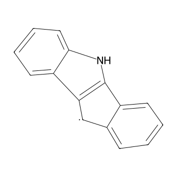 [CH]1c2ccccc2-c2[nH]c3ccccc3c21